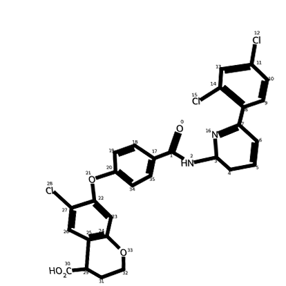 O=C(NC1CC=CC(c2ccc(Cl)cc2Cl)=N1)c1ccc(Oc2cc3c(cc2Cl)C(C(=O)O)CCO3)cc1